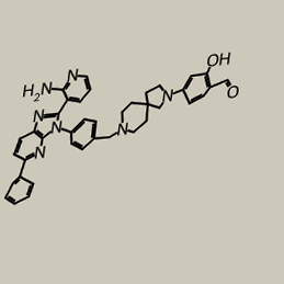 Nc1ncccc1-c1nc2ccc(-c3ccccc3)nc2n1-c1ccc(CN2CCC3(CC2)CCN(c2ccc(C=O)c(O)c2)C3)cc1